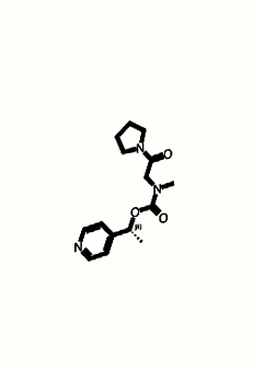 C[C@@H](OC(=O)N(C)CC(=O)N1CCCC1)c1ccncc1